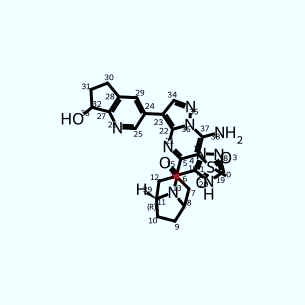 CS(=O)(=O)c1c(C2CC3CC[C@H](C2)N3C(=O)c2nnc[nH]2)nc2c(-c3cnc4c(c3)CCC4O)cnn2c1N